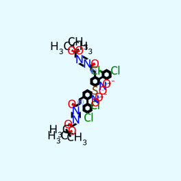 CC(C)(C)OC(=O)CN1CCN(C(=O)/C=C/c2ccc(Sc3ccc(/C=C/C(=O)N4CCN(CC(=O)OC(C)(C)C)CC4)c(-c4ccc(Cl)cc4Cl)c3[N+](=O)[O-])c([N+](=O)[O-])c2-c2ccc(Cl)cc2Cl)CC1